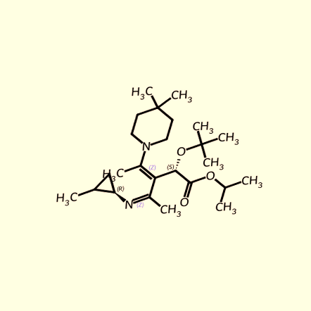 CC(=N/[C@@H]1CC1C)/C(=C(\C)N1CCC(C)(C)CC1)[C@H](OC(C)(C)C)C(=O)OC(C)C